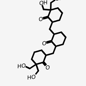 O=C1C(CC2CCCC(CO)(CO)C2=O)CCCC1CC1CCCC(CO)(CO)C1=O